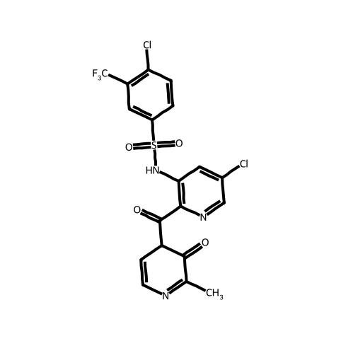 CC1=NC=CC(C(=O)c2ncc(Cl)cc2NS(=O)(=O)c2ccc(Cl)c(C(F)(F)F)c2)C1=O